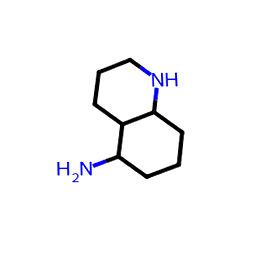 NC1CCCC2NCCCC12